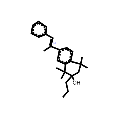 CCCC1(O)CC(C)(C)c2ccc(/C(C)=C/c3ccccc3)cc2C1(C)C